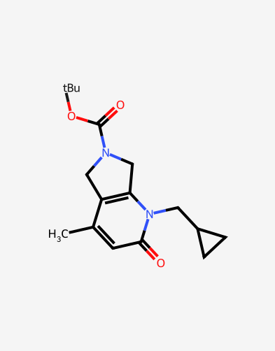 Cc1cc(=O)n(CC2CC2)c2c1CN(C(=O)OC(C)(C)C)C2